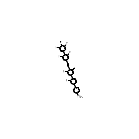 CCCCc1ccc(-c2ccc(-c3cc(C)c(C#Cc4cc(F)c(-c5cc(F)c(F)c(F)c5)c(F)c4)c(F)c3)c(F)c2)cc1